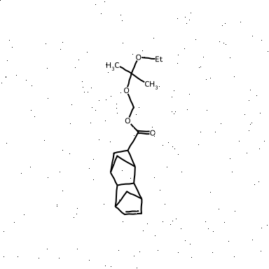 CCOC(C)(C)OCOC(=O)C1CC2CC1C1C3C=CC(C3)C21